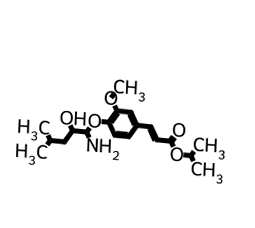 COc1cc(C=CC(=O)OC(C)C)ccc1OC(N)C(O)CC(C)C